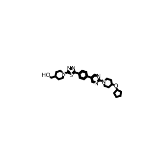 OCC1CCN(c2nnc(-c3ccc(-c4cnc(N5CCC(OC6CCCC6)CC5)nc4)cc3)s2)CC1